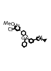 COc1ncc([C@H]2CC[C@H](CN(C(=O)C3CCCCC3)c3cccc(-c4cnn(C5CC5)c4)c3)CC2)cc1Cl